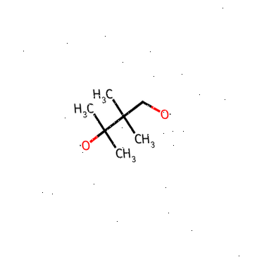 CC(C)([O])C(C)(C)C[O]